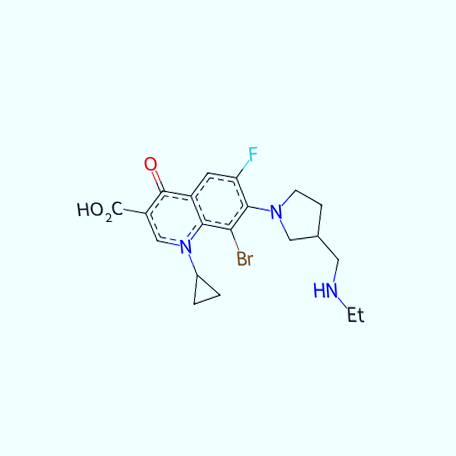 CCNCC1CCN(c2c(F)cc3c(=O)c(C(=O)O)cn(C4CC4)c3c2Br)C1